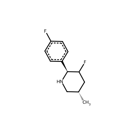 C[C@@H]1CN[C@@H](c2ccc(F)cc2)C(F)C1